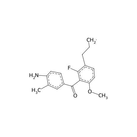 [CH2]CCc1ccc(OC)c(C(=O)c2ccc(N)c(C)c2)c1F